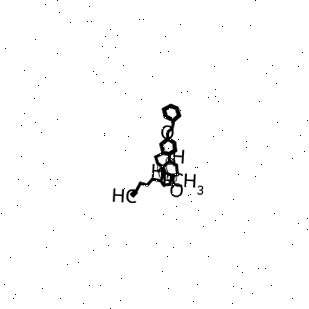 C#CCCCC1CC(=O)[C@@]2(C)CC[C@@H]3c4ccc(OCc5ccccc5)cc4CC[C@H]3[C@H]12